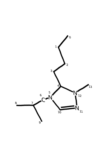 CCCCC1N(CC(C)C)C=NN1C